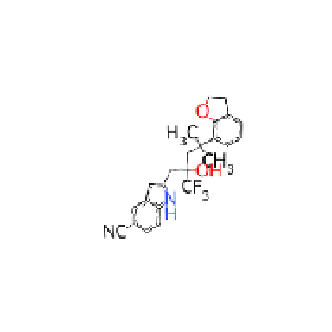 CC(C)(CC(O)(Cc1cc2cc(C#N)ccc2[nH]1)C(F)(F)F)c1cccc2c1OCC2